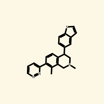 Cc1c(-c2cccnn2)ccc2c1CN(C)CC2c1ccc2sccc2c1